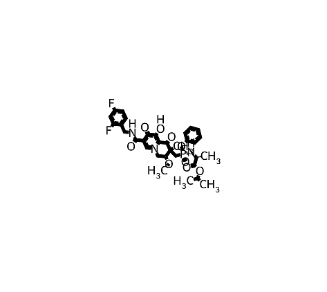 COC1Cn2cc(C(=O)NCc3ccc(F)cc3F)c(=O)c(O)c2C(=O)C1(C)CP(=O)(N[C@H](C)C(=O)OC(C)C)Oc1ccccc1